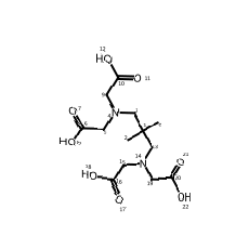 CC(C)(CN(CC(=O)O)CC(=O)O)CN(CC(=O)O)CC(=O)O